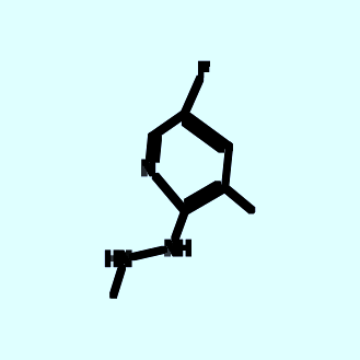 CNNc1ncc(F)cc1C